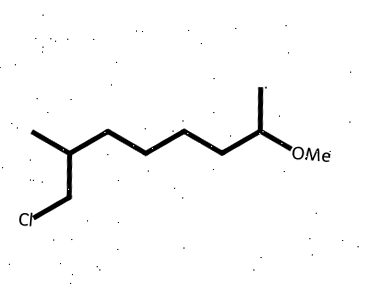 [CH2]C(CCCCC(C)CCl)OC